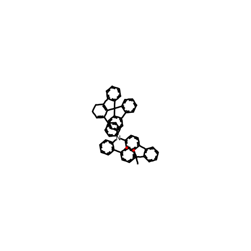 CC1(C)c2ccccc2-c2ccc(N(c3ccc4c(c3)-c3ccccc3C43C4=C(CCC=C4c4ccccc4)c4ccccc43)c3ccccc3-c3ccccc3)cc21